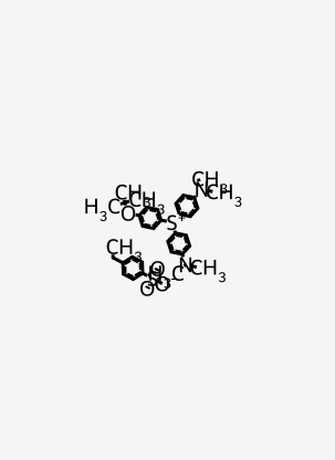 CCc1ccc(S(=O)(=O)[O-])cc1.CN(C)c1ccc([S+](c2ccc(OC(C)(C)C)cc2)c2ccc(N(C)C)cc2)cc1